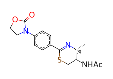 CC(=O)NC1CSC(c2ccc(N3CCOC3=O)cc2)=N[C@@H]1C